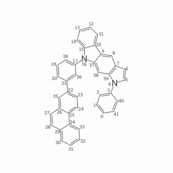 c1ccc(-n2ccc3cc4c5ccccc5n(-c5cccc(-c6ccc7c(ccc8ccccc87)c6)c5)c4cc32)cc1